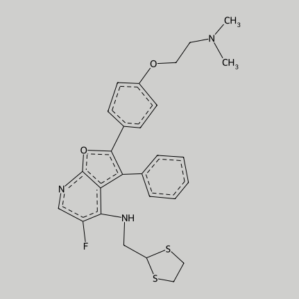 CN(C)CCOc1ccc(-c2oc3ncc(F)c(NCC4SCCS4)c3c2-c2ccccc2)cc1